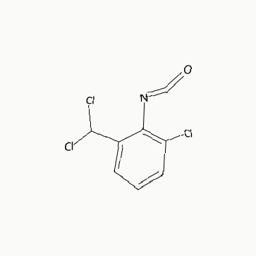 O=C=Nc1c(Cl)cccc1C(Cl)Cl